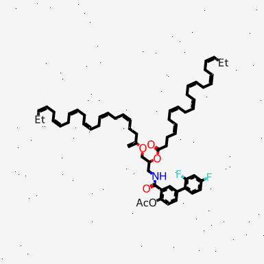 C=C(CC/C=C\C/C=C\C/C=C\C/C=C\C/C=C\C/C=C\CC)OCC(CNC(=O)c1cc(-c2ccc(F)cc2F)ccc1OC(C)=O)OC(=O)CC/C=C\C/C=C\C/C=C\C/C=C\C/C=C\C/C=C\CC